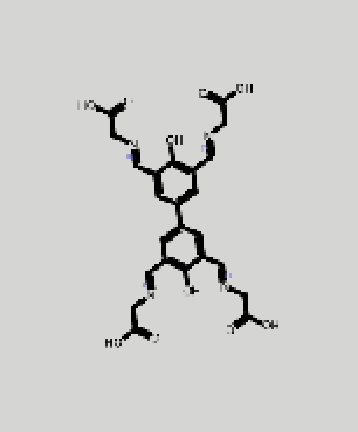 O=C(O)C/N=C/c1cc(-c2cc(/C=N/CC(=O)O)c(O)c(/C=N/CC(=O)O)c2)cc(/C=N/CC(=O)O)c1O